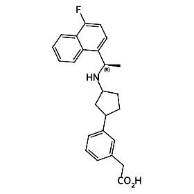 C[C@@H](NC1CCC(c2cccc(CC(=O)O)c2)C1)c1ccc(F)c2ccccc12